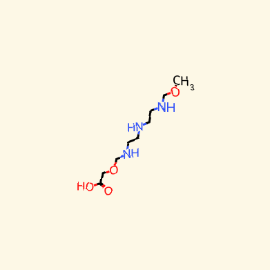 COCNCCNCCNCOCC(=O)O